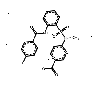 CN(c1ccc(C(=O)O)cc1)S(=O)(=O)c1ccccc1NC(=O)c1ccc(F)cc1